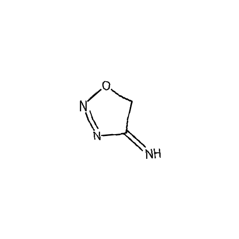 N=C1CON=N1